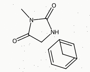 CN1C(=O)CNC1=O.c1cc2cc(c1)C2